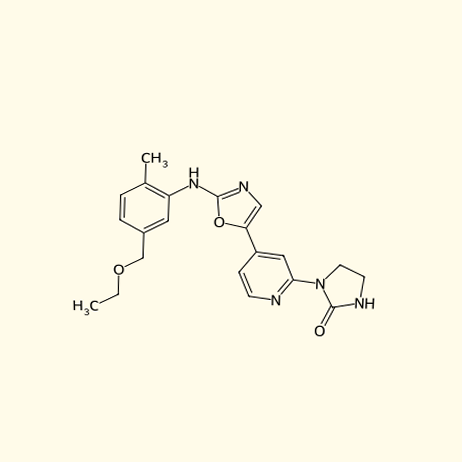 CCOCc1ccc(C)c(Nc2ncc(-c3ccnc(N4CCNC4=O)c3)o2)c1